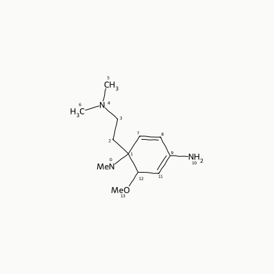 CNC1(CCN(C)C)C=CC(N)=CC1OC